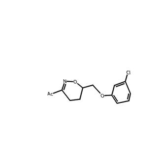 CC(=O)C1=NOC(COc2cccc(Cl)c2)CC1